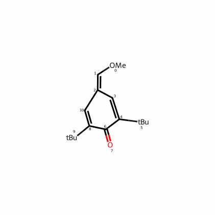 COC=C1C=C(C(C)(C)C)C(=O)C(C(C)(C)C)=C1